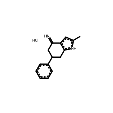 Cc1cc2c([nH]1)CC(c1ccccc1)CC2=N.Cl